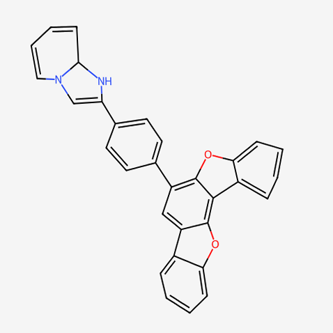 C1=CC2NC(c3ccc(-c4cc5c6ccccc6oc5c5c4oc4ccccc45)cc3)=CN2C=C1